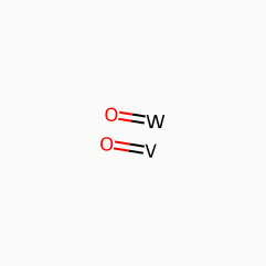 [O]=[V].[O]=[W]